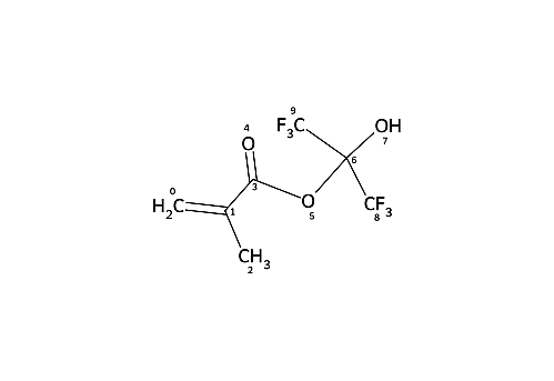 C=C(C)C(=O)OC(O)(C(F)(F)F)C(F)(F)F